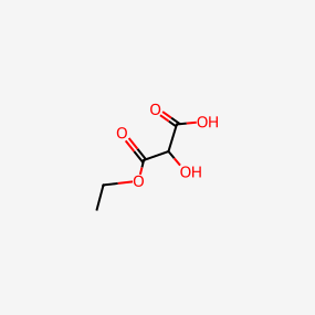 CCOC(=O)C(O)C(=O)O